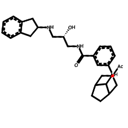 CC(=O)N1CC2CCC(C1)C2Nc1cccc(C(=O)NC[C@@H](O)CNC2Cc3ccccc3C2)c1